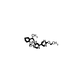 CCOc1ncc(-c2cc(NC[C@@H](C)c3ccccc3OC)ncn2)cn1